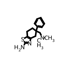 CN(C)CC1(c2ccccc2)CCc2sc(N)nc2C1